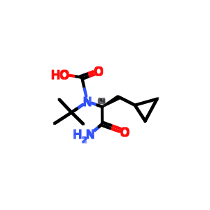 CC(C)(C)N(C(=O)O)[C@@H](CC1CC1)C(N)=O